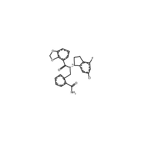 NC(=O)c1ccccc1CN(C(=O)c1cccc2c1OCO2)[C@@H]1CCc2c(F)cc(Cl)cc21